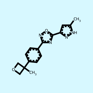 Cc1cc(-c2nc(-c3ccc(C4(C)COC4)cc3)no2)n[nH]1